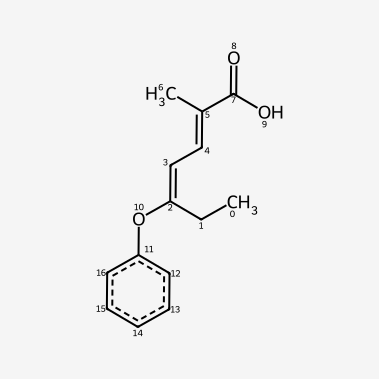 CC/C(=C\C=C(/C)C(=O)O)Oc1ccccc1